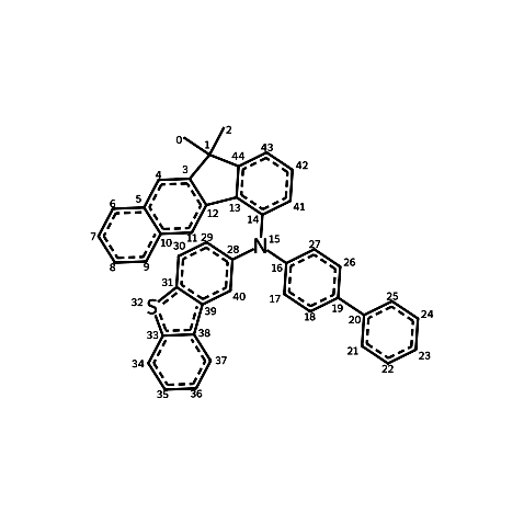 CC1(C)c2cc3ccccc3cc2-c2c(N(c3ccc(-c4ccccc4)cc3)c3ccc4sc5ccccc5c4c3)cccc21